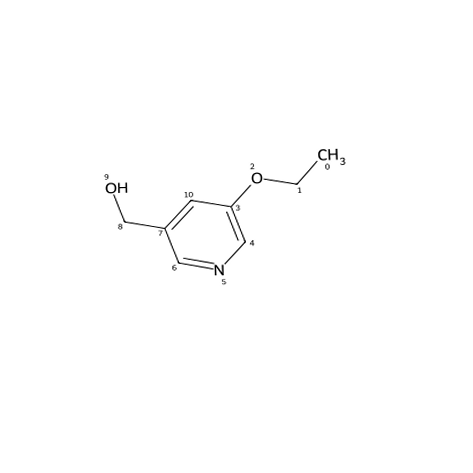 CCOc1cncc(CO)c1